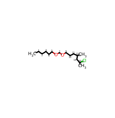 CCCCCCOCOCCCC(C)CC(C)Cl